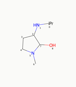 CC(C)NC1CCN(C)C1O